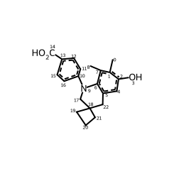 Cc1c(O)cc2c(c1C)N(c1ccc(C(=O)O)cc1)CC1(CCC1)C2